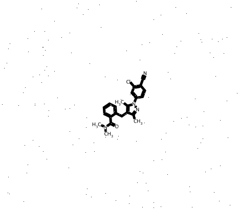 Cc1nn(-c2ccc(C#N)c(Cl)c2)c(C)c1Cc1ccccc1C(=O)N(C)C